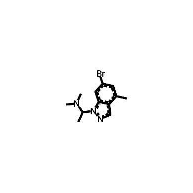 Cc1cc(Br)cc2c1cnn2C(C)N(C)C